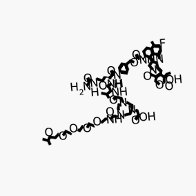 CC[C@@]1(O)C(=O)OCc2c1cc1n(c2=O)Cc2c-1nc1cc(F)c(C)c3c1c2[C@@H](NC(=O)OCc1ccc(NC(=O)[C@H](CCCNC(N)=O)NC(=O)[C@@H](NC(=O)CN2CCN(CC(=O)O)CCN(CC(=O)NCCOCCOCCOCCOCCC(=O)C(C)C)CC2)C(C)C)cc1)CC3